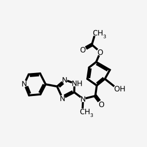 CC(=O)Oc1ccc(C(=O)N(C)c2nc(-c3ccncc3)n[nH]2)c(O)c1